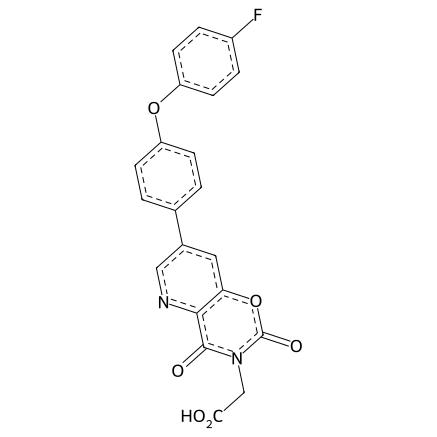 O=C(O)Cn1c(=O)oc2cc(-c3ccc(Oc4ccc(F)cc4)cc3)cnc2c1=O